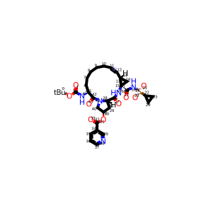 CC(C)(C)OC(=O)N[C@H]1CCCCC/C=C\[C@@H]2C[C@@]2(C(=O)NS(=O)(=O)C2CC2)NC(=O)[C@@H]2C[C@@H](OC(=O)c3cccnc3)CN2C1=O